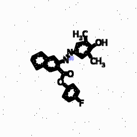 Cc1cc(/N=N/c2cc3ccccc3cc2C(=O)Oc2ccc(F)cc2)cc(C)c1O